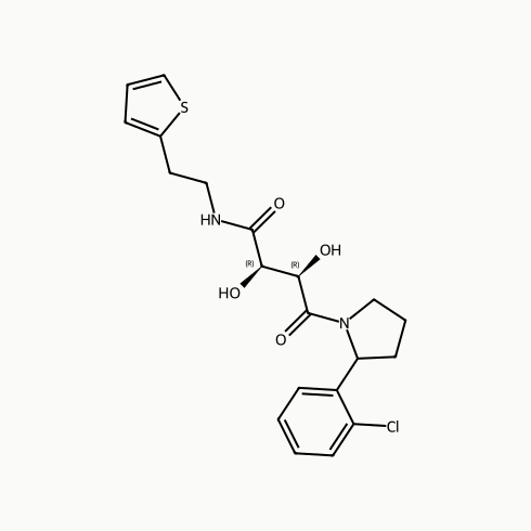 O=C(NCCc1cccs1)[C@H](O)[C@@H](O)C(=O)N1CCCC1c1ccccc1Cl